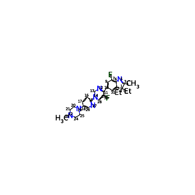 CCC1(CC)C(C)=Nc2c(F)cc(C3=NCN(c4ccc(N5CCN(C)CC5)cn4)C=C3F)cc21